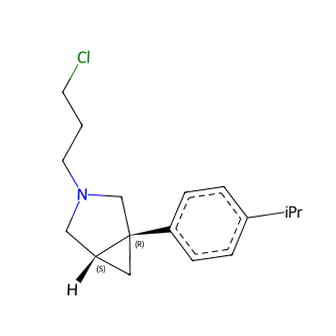 CC(C)c1ccc([C@@]23C[C@@H]2CN(CCCCl)C3)cc1